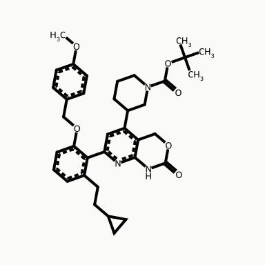 COc1ccc(COc2cccc(CCC3CC3)c2-c2cc(C3CCCN(C(=O)OC(C)(C)C)C3)c3c(n2)NC(=O)OC3)cc1